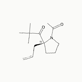 C=CC[C@]1(C(=O)C(C)(C)C)CCCN1C(C)=O